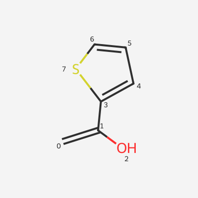 C=C(O)c1cccs1